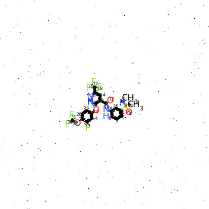 CN=S(C)(=O)c1cccc(NC(=O)c2cc(C(F)(F)F)nnc2Oc2ccc(OC(F)F)c(F)c2)c1